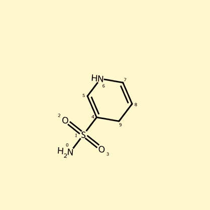 NS(=O)(=O)C1=CNC=CC1